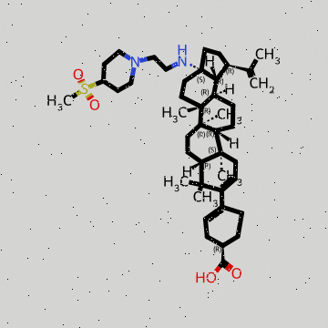 C=C(C)[C@@H]1CC[C@]2(NCCN3CCC(S(C)(=O)=O)CC3)CC[C@]3(C)[C@H](CC[C@@H]4[C@@]5(C)CC=C(C6=CC[C@H](C(=O)O)CC6)C(C)(C)[C@@H]5CC[C@]43C)[C@@H]12